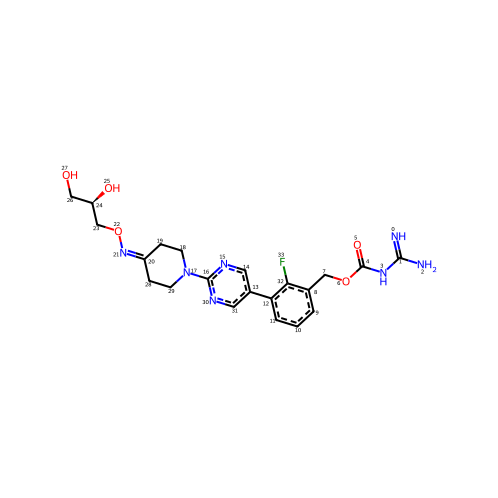 N=C(N)NC(=O)OCc1cccc(-c2cnc(N3CCC(=NOC[C@H](O)CO)CC3)nc2)c1F